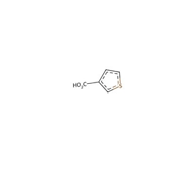 O=C(O)c1[c]scc1